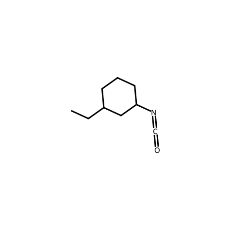 CCC1CCCC(N=C=O)C1